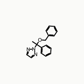 CC(OCc1ccccc1)(c1ccccc1)n1nccn1